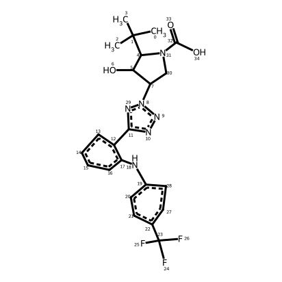 CC(C)(C)C1C(O)C(n2nnc(-c3ccccc3Nc3ccc(C(F)(F)F)cc3)n2)CN1C(=O)O